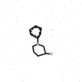 ClC1[CH]CCN(c2ccccc2)C1